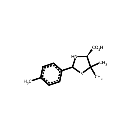 Cc1ccc(C2N[C@@H](C(=O)O)C(C)(C)S2)cc1